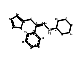 C1=CCC(CC(=NNC2CCCCC2)c2ccccc2)=C1